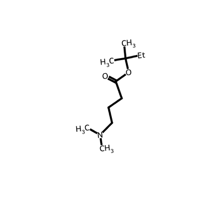 CCC(C)(C)OC(=O)CCCN(C)C